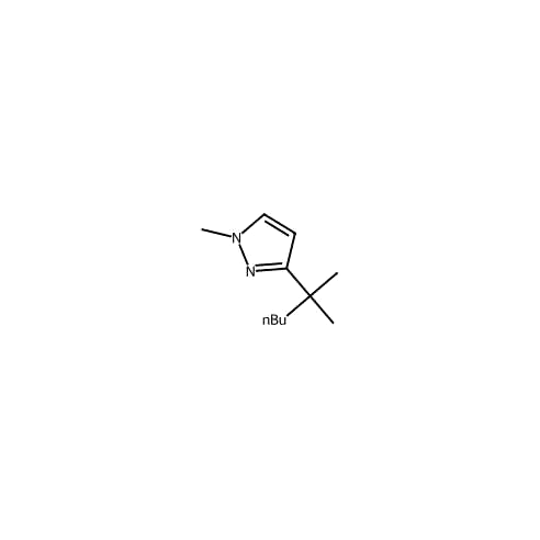 CCCCC(C)(C)c1ccn(C)n1